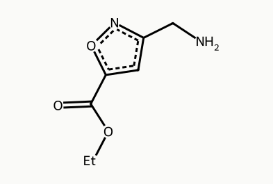 CCOC(=O)c1cc(CN)no1